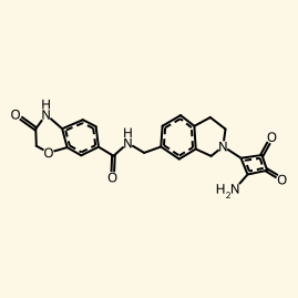 Nc1c(N2CCc3ccc(CNC(=O)c4ccc5c(c4)OCC(=O)N5)cc3C2)c(=O)c1=O